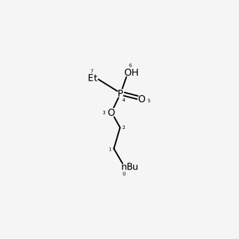 CCCCCCOP(=O)(O)CC